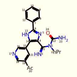 CCCN(C(=N)c1nc(-c2ccccc2)[nH]c1-c1cncc(C(C)=O)c1)C(N)=O